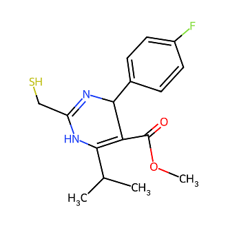 COC(=O)C1=C(C(C)C)NC(CS)=NC1c1ccc(F)cc1